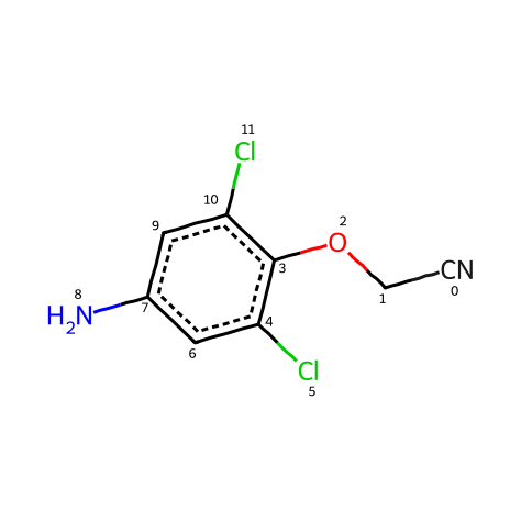 N#CCOc1c(Cl)cc(N)cc1Cl